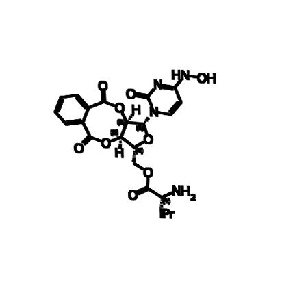 CC(C)[C@@H](N)C(=O)OC[C@H]1O[C@@H](n2ccc(NO)nc2=O)[C@@H]2OC(=O)c3ccccc3C(=O)O[C@@H]21